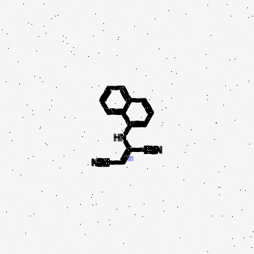 N#C/C=C(/C#N)Nc1cccc2ccccc12